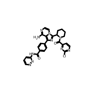 Nc1nccn2c(C3CCCCN3C(=O)c3ccnc(Cl)n3)nc(-c3ccc(C(=O)Nc4cccnn4)cc3)c12